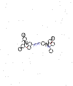 COc1c#cc(N(/C=C(\C2=CC=CCC2)c2ccccc2)c2ccc(/C=C/C=C/c3ccc(N(c4ccc(OC)cc4C)c4ccc(OC)cc4C)c4ccccc34)cc2)cc1